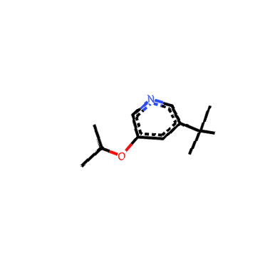 CC(C)Oc1cncc(C(C)(C)C)c1